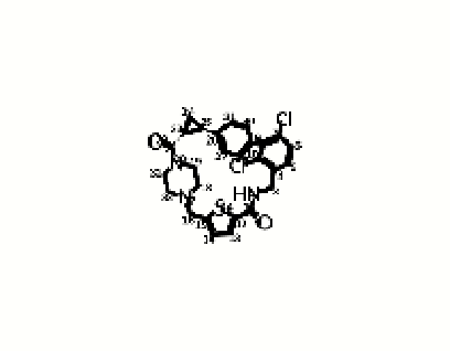 O=C(NCc1ccc(Cl)cc1Cl)c1ccc(CN2CCN(C(=O)[C@@H]3C[C@H]3c3ccccc3)CC2)s1